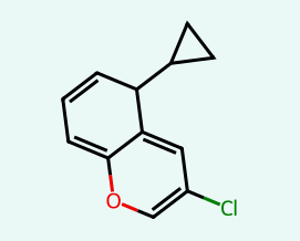 ClC1=COC2=CC=CC(C3CC3)C2=C1